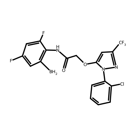 Bc1cc(F)cc(F)c1NC(=O)COc1cc(C(F)(F)F)nn1-c1ccccc1Cl